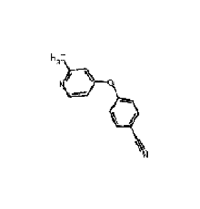 Cc1cc(Oc2ccc(C#N)cc2)ccn1